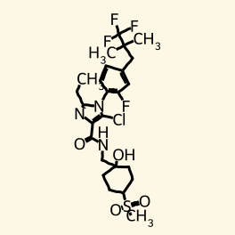 CCc1nc(C(=O)NCC2(O)CCC(S(C)(=O)=O)CC2)c(Cl)n1-c1ccc(CC(C)(C)C(F)(F)F)cc1F